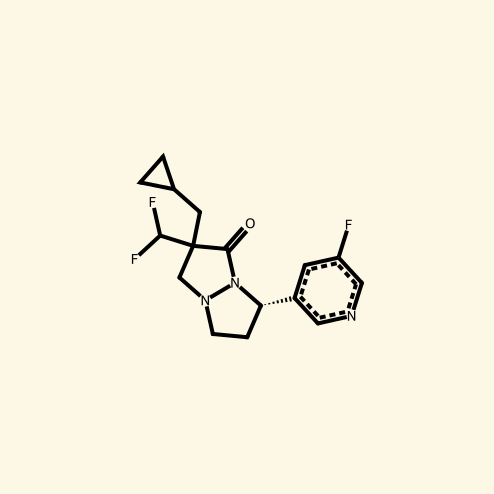 O=C1N2[C@H](c3cncc(F)c3)CCN2CC1(CC1CC1)C(F)F